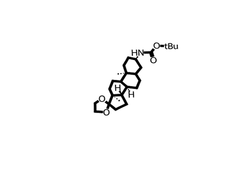 CC(C)(C)OC(=O)N[C@H]1CC[C@@]2(C)C(CC[C@@H]3C2CC[C@@]2(C)[C@H]3CCC23OCCO3)C1